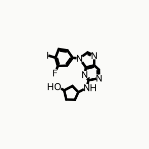 OC1CCC(Nc2ncc3ncn(-c4ccc(I)c(F)c4)c3n2)C1